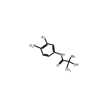 CCC(C)C(C)(O)C(=O)Nc1ccc([N+](=O)[O-])c(C(C)=O)c1